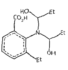 CCc1cccc(C(=O)O)c1N(C(O)CC)C(O)CC